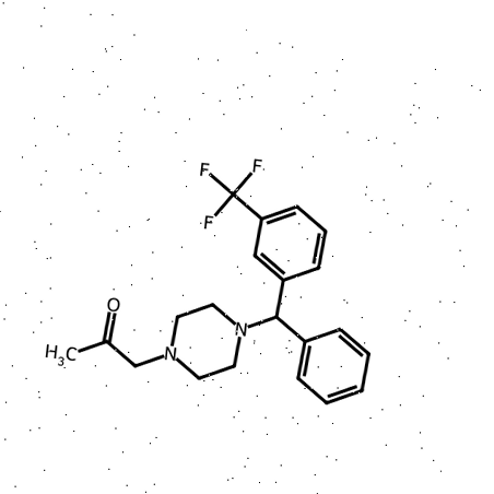 CC(=O)CN1CCN(C(c2ccccc2)c2cccc(C(F)(F)F)c2)CC1